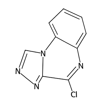 Clc1nc2ccccc2n2cnnc12